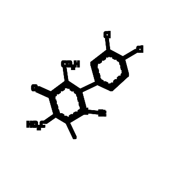 CCn1c(C)c(C(=O)O)c(=O)c(C(=O)O)c1-c1ccc(Cl)c(Cl)c1